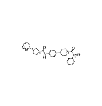 CC[C@H](C(=O)N1CCC(c2ccc(NC(=O)[C@H]3CCN(c4cccnn4)C3)cc2)CC1)c1ccccc1